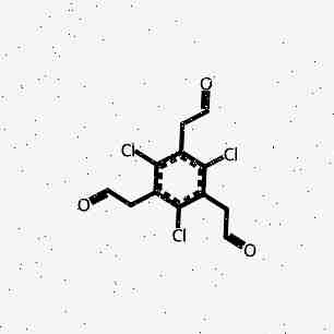 O=CCc1c(Cl)c(CC=O)c(Cl)c(CC=O)c1Cl